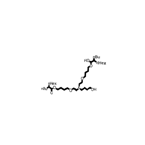 CCCCCCC(CCCC)C(=O)OCCCCOCCN(CCCCO)CCOCCCCOC(O)C(CCCC)CCCCCC